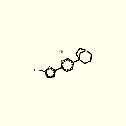 Br.Cc1ccc(-c2ccc(C34CCCN(CC3)C4)cn2)s1